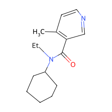 CCN(C(=O)c1cnccc1C)C1CCCCC1